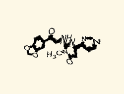 Cn1c(NCC(=O)c2ccc3c(c2)OCO3)nc(-c2ccncn2)cc1=O